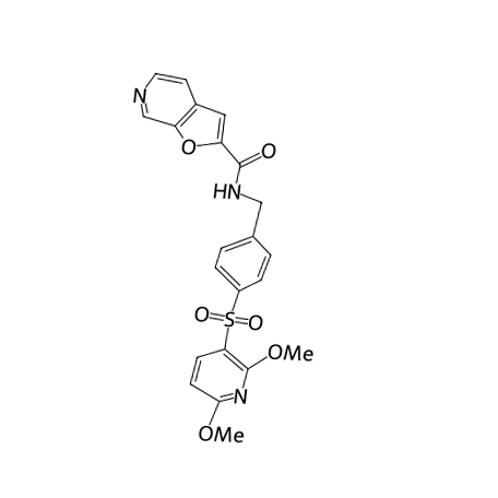 COc1ccc(S(=O)(=O)c2ccc(CNC(=O)c3cc4ccncc4o3)cc2)c(OC)n1